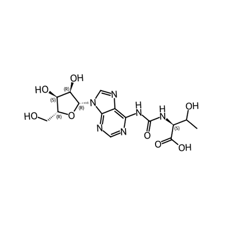 CC(O)[C@H](NC(=O)Nc1ncnc2c1ncn2[C@@H]1O[C@H](CO)[C@@H](O)[C@H]1O)C(=O)O